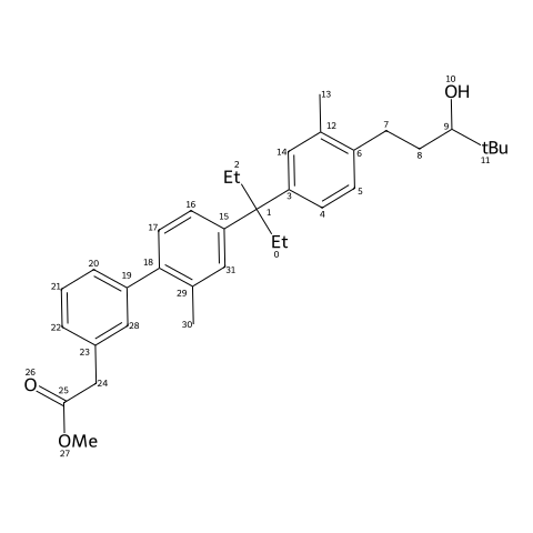 CCC(CC)(c1ccc(CCC(O)C(C)(C)C)c(C)c1)c1ccc(-c2cccc(CC(=O)OC)c2)c(C)c1